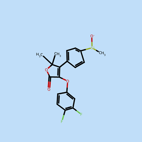 C[S+]([O-])c1ccc(C2=C(Oc3ccc(F)c(F)c3)C(=O)OC2(C)C)cc1